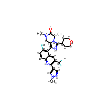 C[C@H]1C(=O)N(C)Cc2c(-c3c(F)ccc4nc(-c5cnn(C)c5)c(C(F)F)cc34)nc(C3CCOCC3)n21